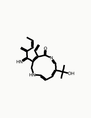 C=C/C1=C(\C(=N)C(=C)/C=C\C)CN/C=C/C=C(C(C)(C)O)\C=N/C1=O